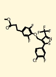 COC(=O)CCc1cc(F)c(OCc2c(C(F)(F)F)nsc2-c2ccc(Cl)c(F)c2)c(F)c1